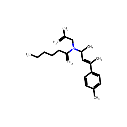 C=C(C)CN(C(=C)CCCCC)C(C)/C=C(\C)c1ccc(C)cc1